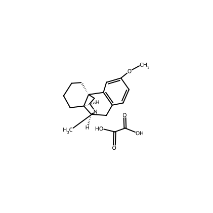 COc1ccc2c(c1)[C@]13CCCC[C@@H]1[C@H](C2)N(C)CC3.O=C(O)C(=O)O